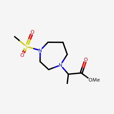 COC(=O)C(C)N1CCCN(S(C)(=O)=O)CC1